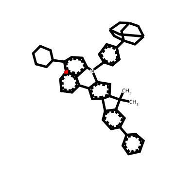 CC1(C)c2cc(-c3ccccc3)ccc2-c2cc(-c3ccccc3)c(N(c3ccc(C4CCCCC4)cc3)c3ccc(C45CC6CC(CC(C6)C4)C5)cc3)cc21